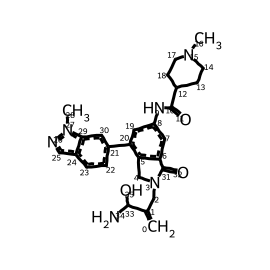 C=C(CN1Cc2c(cc(NC(=O)C3CCN(C)CC3)cc2-c2ccc3cnn(C)c3c2)C1=O)C(N)O